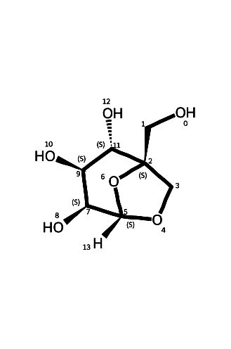 OC[C@@]12CO[C@@H](O1)[C@@H](O)[C@@H](O)[C@@H]2O